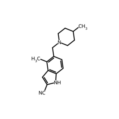 Cc1c(CN2CCC(C)CC2)ccc2[nH]c(C#N)cc12